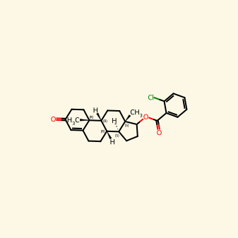 C[C@]12CCC(=O)C=C1CC[C@@H]1[C@H]2CC[C@]2(C)C(OC(=O)c3ccccc3Cl)CC[C@@H]12